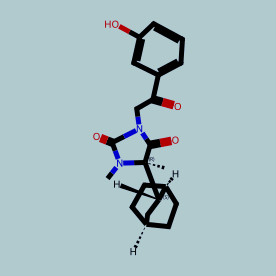 CN1C(=O)N(CC(=O)c2cccc(O)c2)C(=O)[C@@]1(C)[C@H]1C[C@H]2CC[C@@H]1CC2